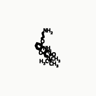 CC(C)(C)n1cc2c(nc1=O)Nc1c(OCCCN)cccc1O2